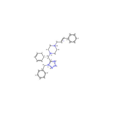 C1=CCC([C@@H](c2nnnn2Cc2ccccc2)N2CCN(C/C=C/c3ccccc3)CC2)C=C1